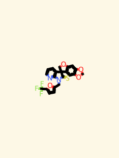 FC(F)(F)c1ccc(CN2C(=S)C3(COc4cc5c(cc43)OCO5)c3cccnc32)o1